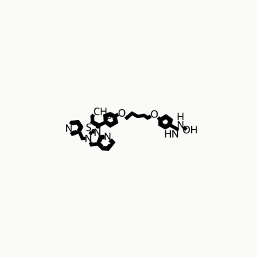 CCc1sc(N(Cc2cccnc2)Cc2cccnc2)nc1-c1ccc(OCCCCCOc2ccc(C(=N)NO)cc2)cc1